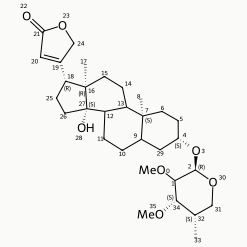 COC1[C@@H](O[C@H]2CC[C@@]3(C)C(CCC4C3CC[C@]3(C)[C@@H](C5=CC(=O)OC5)CC[C@]43O)C2)OC[C@H](C)[C@@H]1OC